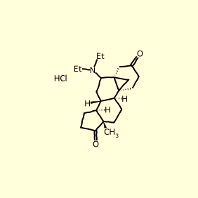 CCN(CC)C1C[C@@H]2[C@H](CC[C@]3(C)C(=O)CC[C@@H]23)[C@@]23CCC(=O)C[C@@]12C3.Cl